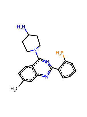 Cc1ccc2c(N3CCC(N)CC3)nc(-c3ccccc3P)nc2c1